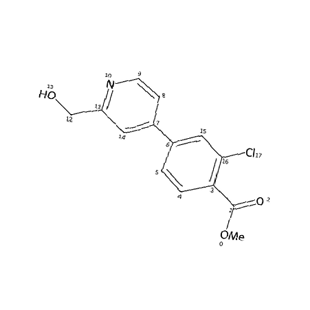 COC(=O)c1ccc(-c2ccnc(CO)c2)cc1Cl